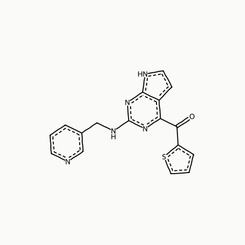 O=C(c1cccs1)c1nc(NCc2cccnc2)nc2[nH]ccc12